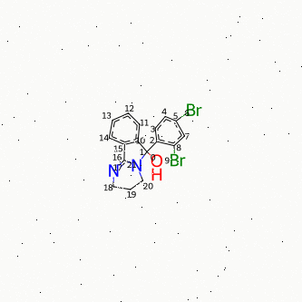 OC1(c2ccc(Br)cc2Br)c2ccccc2C2=NCCCN21